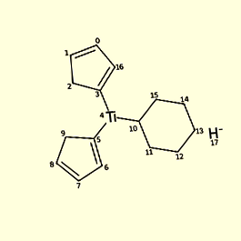 C1=CC[C]([Ti]([C]2=CC=CC2)[CH]2CCCCC2)=C1.[H-]